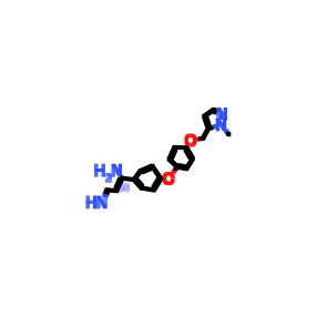 Cn1nccc1COc1ccc(Oc2ccc(/C(N)=C/C=N)cc2)cc1